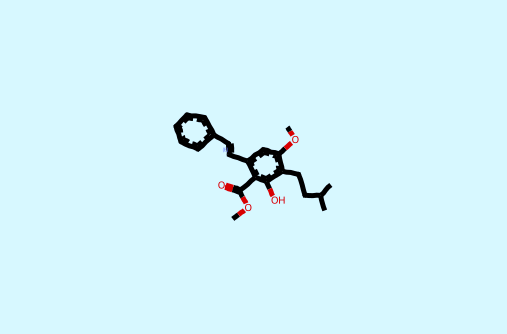 COC(=O)c1c(/C=C/c2ccccc2)cc(OC)c(CCC(C)C)c1O